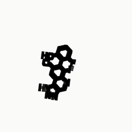 Oc1cccc(F)c1-c1c(Cl)cc2c(ncc3nn[nH]c32)c1F